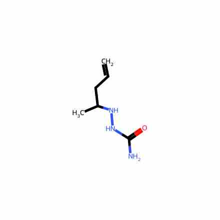 C=CCC(C)NNC(N)=O